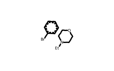 Brc1ccccc1.CCN1CCOCC1